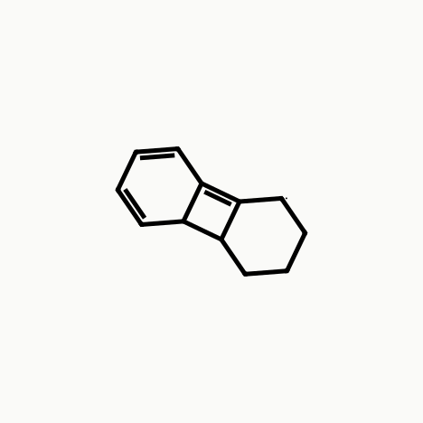 [CH]1CCCC2C1=C1C=CC=CC12